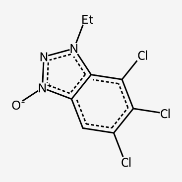 CCn1n[n+]([O-])c2cc(Cl)c(Cl)c(Cl)c21